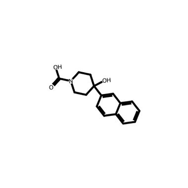 O=C(O)N1CCC(O)(c2ccc3ccccc3c2)CC1